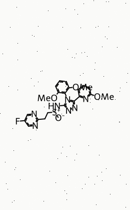 COc1cccc(-c2nnc(N[S+]([O-])CCc3ncc(F)cn3)n2-c2c(OC)cccc2OC)n1